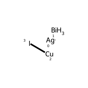 [Ag].[BiH3].[Cu][I]